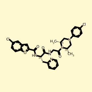 C[C@@H]1CN(c2ccc(Cl)cc2)C[C@H](C)N1C(=O)CNC(=O)[C@H](Cc1ccccn1)NC(=O)c1cc2cc(Cl)ccc2o1